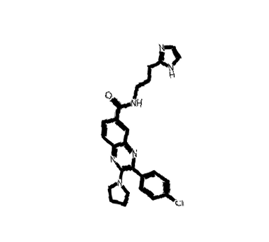 O=C(NCCCc1ncc[nH]1)c1ccc2nc(N3CCCC3)c(-c3ccc(Cl)cc3)nc2c1